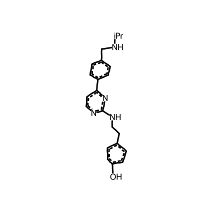 CC(C)NCc1ccc(-c2ccnc(NCCc3ccc(O)cc3)n2)cc1